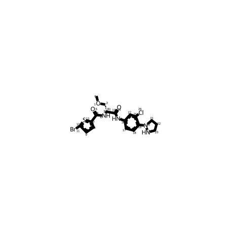 COC[C@@H](NC(=O)c1ccc(Br)s1)C(=O)Nc1ccc(N2CCCN2)c(Cl)c1